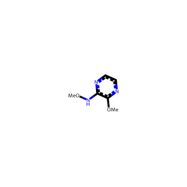 CONc1nccnc1OC